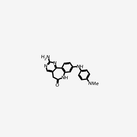 CNc1ccc(Nc2ccc3c(c2)NC(=O)Cc2cnc(N)nc2-3)cc1